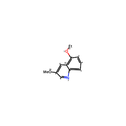 CCOc1cccc2ncc(OC)cc12